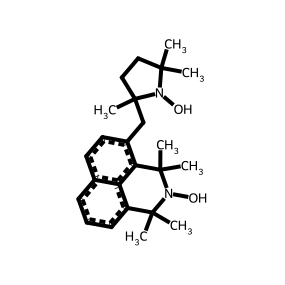 CC1(C)CCC(C)(Cc2ccc3cccc4c3c2C(C)(C)N(O)C4(C)C)N1O